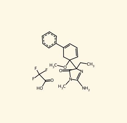 CCC1(C2(OC)C=CC=C(c3ccccc3)C2)N=C(N)N(C)C1=O.O=C(O)C(F)(F)F